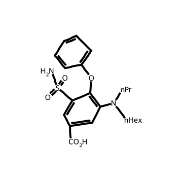 CCCCCCN(CCC)c1cc(C(=O)O)cc(S(N)(=O)=O)c1Oc1ccccc1